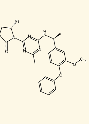 CC[C@H]1COC(=O)N1c1nc(C)nc(N[C@@H](C)c2ccc(Oc3ccccc3)c(OC(F)(F)F)c2)n1